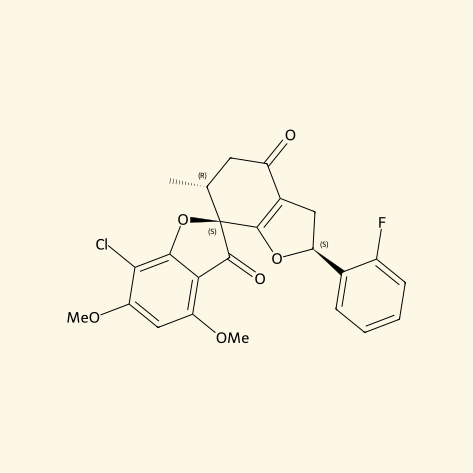 COc1cc(OC)c2c(c1Cl)O[C@]1(C2=O)C2=C(C[C@@H](c3ccccc3F)O2)C(=O)C[C@H]1C